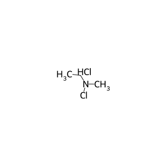 CCN(C)Cl.Cl